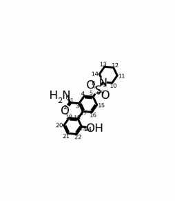 NC(=O)c1cc(S(=O)(=O)N2CCCCC2)ccc1-c1ccccc1O